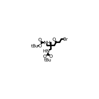 CC(CNC(=O)OC(C)(C)C)(CNC(=O)OC(C)(C)C)CC(=O)CCBr